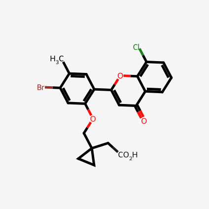 Cc1cc(-c2cc(=O)c3cccc(Cl)c3o2)c(OCC2(CC(=O)O)CC2)cc1Br